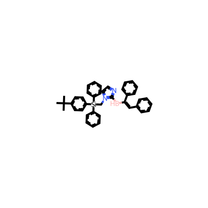 CC(C)(C)c1ccc([Si](Cn2ccnc2BC(=Cc2ccccc2)c2ccccc2)(c2ccccc2)c2ccccc2)cc1